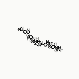 CCNC(=O)Nc1ccc(Oc2ccnc3cc(-c4cn(CC5CC5NC(=O)Nc5ccc(Oc6ccnc7cc(-c8cn(C)cn8)ccc67)c(F)c5Cl)cn4)ccc23)c(F)c1Cl